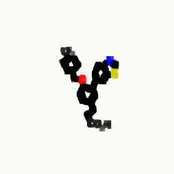 O=C(O)CCc1ccc(OCc2ccc(C(F)(F)F)cc2)c(-c2ccc3ncsc3c2)c1